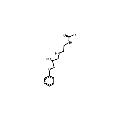 CCC(=O)NCCNCC(O)COc1ccccc1